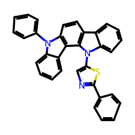 c1ccc(-c2ncc(-n3c4ccccc4c4ccc5c(c6ccccc6n5-c5ccccc5)c43)s2)cc1